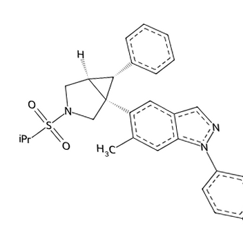 Cc1cc2c(cnn2-c2ccc(F)cc2)cc1[C@]12CN(S(=O)(=O)C(C)C)C[C@H]1[C@@H]2c1ccccc1